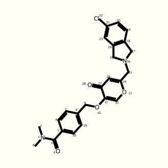 CN(C)C(=O)c1ccc(COc2coc(CN3Cc4ccc(Cl)cc4C3)cc2=O)cc1